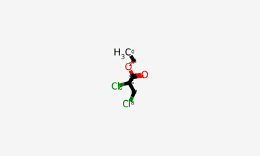 CCOC(=O)C(Cl)[CH]Cl